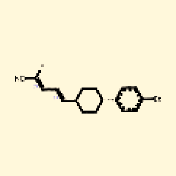 CCc1ccc([C@H]2CC[C@H](/C=C/C=C(\F)C#N)CC2)cc1